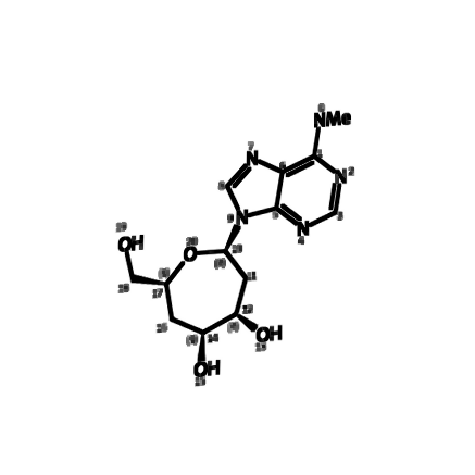 CNc1ncnc2c1ncn2[C@H]1C[C@@H](O)[C@@H](O)C[C@@H](CO)O1